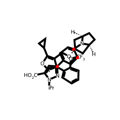 CC(C)n1nc(-c2ccc(N3[C@@H]4CC[C@H]3C[C@H](OCc3c(-c5ccccc5OC(F)(F)F)noc3C3CC3)C4)cc2)cc1C(=O)O